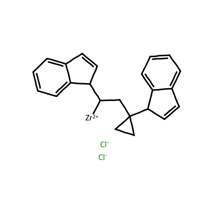 [Cl-].[Cl-].[Zr+2][CH](CC1(C2C=Cc3ccccc32)CC1)C1C=Cc2ccccc21